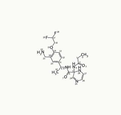 CCC(=O)NC1(C(=O)NC(C)c2ccc(OCC(F)F)c(CN)c2)C=NC=CN1